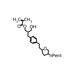 C=C(C)C(=O)OCC(CO)Cc1ccc(CCC2CCC(CCCCC)CO2)cc1